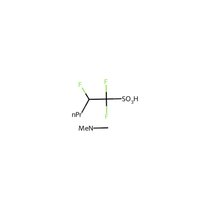 CCCC(F)C(F)(F)S(=O)(=O)O.CNC